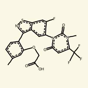 Cc1ccc(-c2nsc3cc(F)c(-n4c(=O)cc(C(F)(F)F)n(C)c4=O)cc23)c(OCC(=O)O)c1